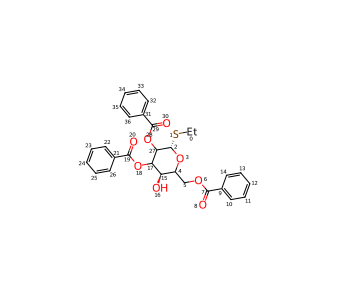 CCS[C@@H]1OC(COC(=O)c2ccccc2)[C@@H](O)C(OC(=O)c2ccccc2)C1OC(=O)c1ccccc1